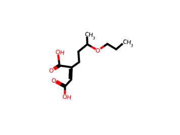 CCCOC(C)CC/C(=C/C(=O)O)C(=O)O